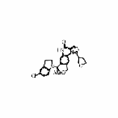 COCc1cc2c(cc1C(=O)N1CCc3cc(Cl)ccc31)[nH]c(=O)c1cnc(C3CCOC3)n12